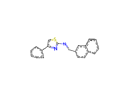 C(=Nc1nc(-c2ccccc2)cs1)c1ccc2ccccc2c1